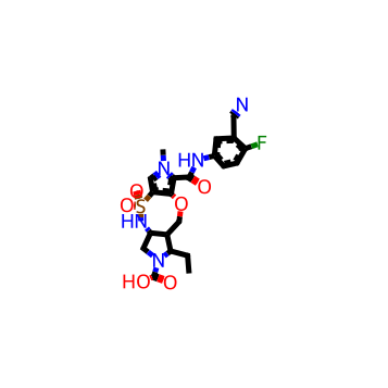 CCC1C2COc3c(cn(C)c3C(=O)Nc3ccc(F)c(C#N)c3)S(=O)(=O)NC2CN1C(=O)O